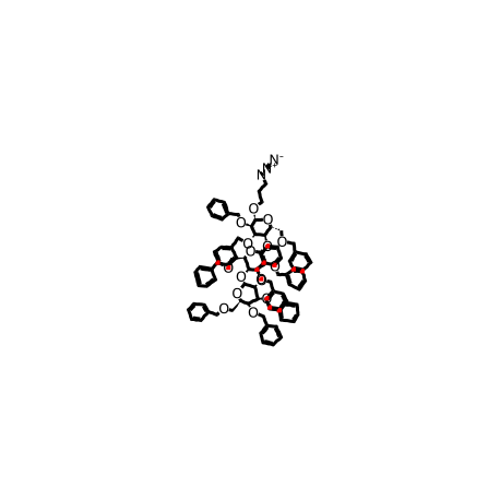 [N-]=[N+]=NCCCO[C@@H]1O[C@H](COCc2ccccc2)[C@@H](O[C@@H]2O[C@H](COCc3ccccc3)[C@H](O[C@H]3O[C@H](COCc4ccccc4)[C@H](OCc4ccccc4)[C@H](OCc4ccccc4)[C@H]3OCc3ccccc3)[C@H](OCc3ccccc3)[C@H]2OCc2ccccc2)[C@H](OCc2ccccc2)[C@H]1OCc1ccccc1